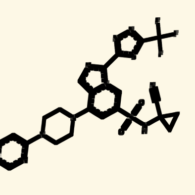 N#CC1(NS(=O)(=O)c2cc(N3CCN(c4ccccn4)CC3)c3cnc(-c4nnc(C(F)(F)F)s4)n3c2)CC1